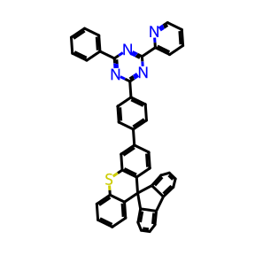 c1ccc(-c2nc(-c3ccc(-c4ccc5c(c4)Sc4ccccc4C54c5ccccc5-c5ccccc54)cc3)nc(-c3ccccn3)n2)cc1